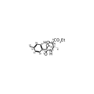 CCOC(=O)[C@H](O)[C@H](C)NS(=O)(=O)c1ccc(C)cc1